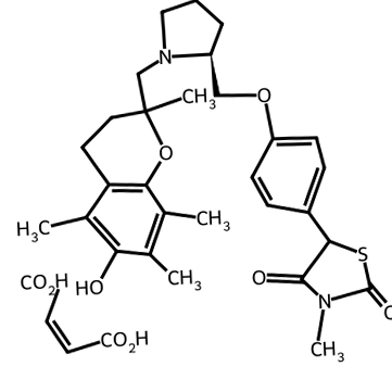 Cc1c(C)c2c(c(C)c1O)CCC(C)(CN1CCC[C@H]1COc1ccc(C3SC(=O)N(C)C3=O)cc1)O2.O=C(O)/C=C\C(=O)O